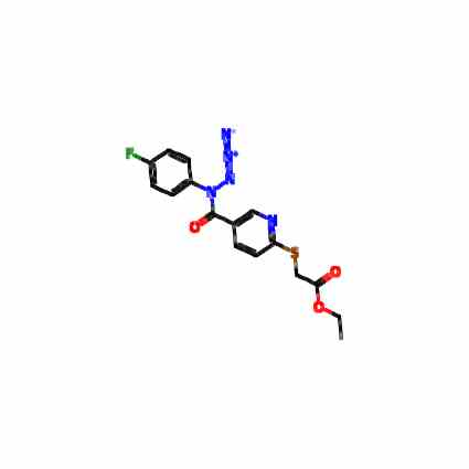 CCOC(=O)CSc1ccc(C(=O)N(N=[N+]=[N-])c2ccc(F)cc2)cn1